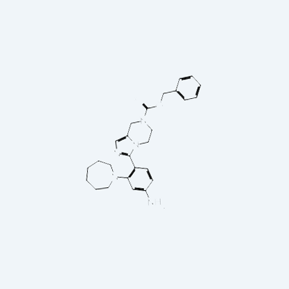 Nc1ccc(-c2ncc3n2CCN(C(=O)OCc2ccccc2)C3)c(N2CCCCCC2)c1